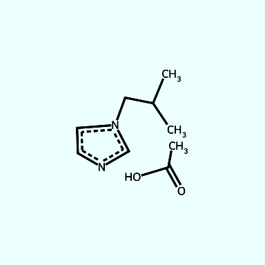 CC(=O)O.CC(C)Cn1ccnc1